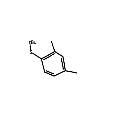 Cc1ccc(SC(C)(C)C)c(C)c1